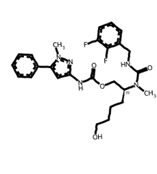 CN(C(=O)NCc1cccc(F)c1F)[C@@H](CCCCO)COC(=O)Nc1cc(-c2ccccc2)n(C)n1